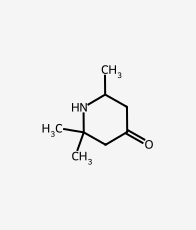 CC1CC(=O)CC(C)(C)N1